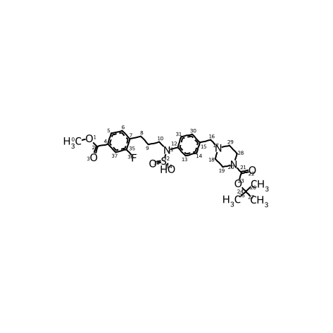 COC(=O)c1ccc(CCCN(c2ccc(CN3CCN(C(=O)OC(C)(C)C)CC3)cc2)[SH](=O)=O)c(F)c1